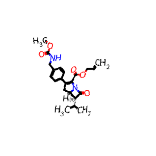 C=CCOC(=O)C1=C(c2ccc(CNC(=O)OC)cc2)C[C@@H]2[C@@H](C(C)C)C(=O)N12